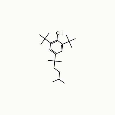 CC(C)CCC(C)(C)c1cc(C(C)(C)C)c(O)c(C(C)(C)C)c1